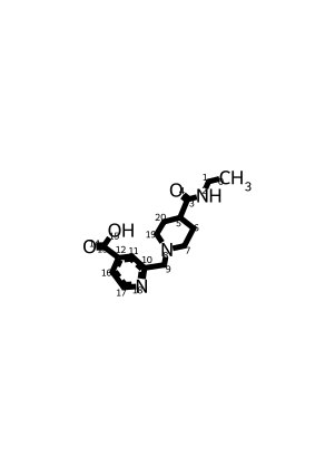 CCNC(=O)C1CCN(Cc2cc(C(=O)O)ccn2)CC1